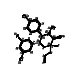 C=CC[C@]1(C)C[C@H](c2cc(F)cc(Cl)c2)[C@@H](c2ccc(Cl)cc2)N(C(C)C)C1=O